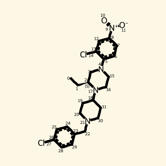 CC[C@H]1CN(c2ccc([N+](=O)[O-])cc2Cl)CCN1C1CCN(Cc2ccc(Cl)cc2)CC1